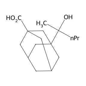 CCCC(C)(O)C12CC3CC(CC(C(=O)O)(C3)C1)C2